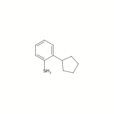 [SiH3]c1ccccc1C1CCCC1